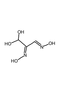 ON=CC(=NO)C(O)O